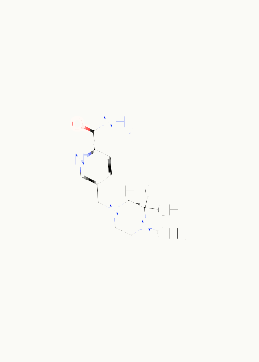 CN1CCN(Cc2ccc(C(N)=O)nc2)CC1(C)C